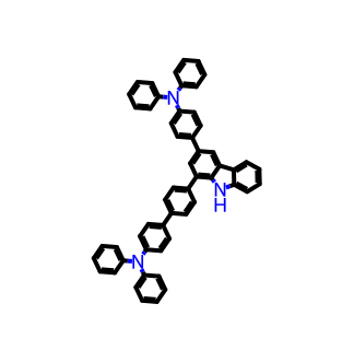 c1ccc(N(c2ccccc2)c2ccc(-c3ccc(-c4cc(-c5ccc(N(c6ccccc6)c6ccccc6)cc5)cc5c4[nH]c4ccccc45)cc3)cc2)cc1